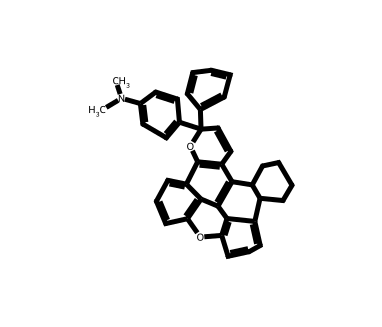 CN(C)c1ccc(C2(c3ccccc3)C=Cc3c4c5c6c(cccc6c3O2)Oc2cccc(c2-5)C2CCCCC42)cc1